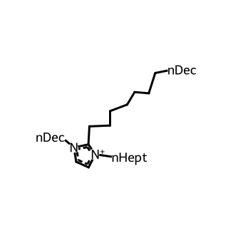 CCCCCCCCCCCCCCCCCc1n(CCCCCCCCCC)cc[n+]1CCCCCCC